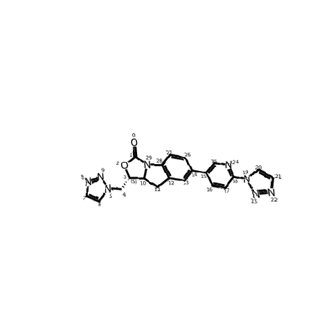 O=C1O[C@@H](Cn2ccnn2)C2Cc3cc(-c4ccc(-n5ccnn5)nc4)ccc3N12